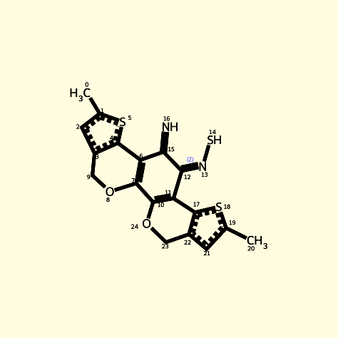 Cc1cc2c(s1)C1=C(OC2)C2=C(/C(=N/S)C1=N)c1sc(C)cc1CO2